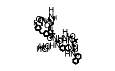 CNC(C)C(=O)NC(C(=O)N1Cc2cc(NC(=O)CNC(=O)C3(C)CN(C(=O)CN4C[C@@H](C)NC[C@@H]4CN4CCOCC4C)c4cc(Cc5ccc(F)cc5)ccc43)ccc2C[C@H]1C(=O)N[C@@H]1CCCc2ccccc21)C(C)(C)C.Cl.Cl.Cl